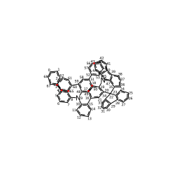 c1ccc(-c2cccc(N(c3ccccc3-c3ccc4c(c3)C3(c5ccccc5-c5ccccc53)c3cccc5c6ccccc6n-4c35)c3ccc(-c4ccccc4)cc3-c3ccccc3)c2)cc1